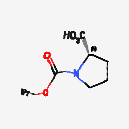 CC(C)OC(=O)N1CCC[C@H]1C(=O)O